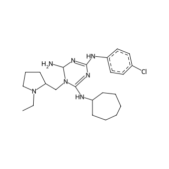 CCN1CCCC1CN1C(NC2CCCCCC2)=NC(Nc2ccc(Cl)cc2)=NC1N